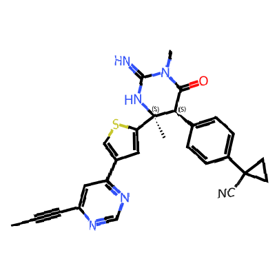 CC#Cc1cc(-c2csc([C@@]3(C)NC(=N)N(C)C(=O)[C@H]3c3ccc(C4(C#N)CC4)cc3)c2)ncn1